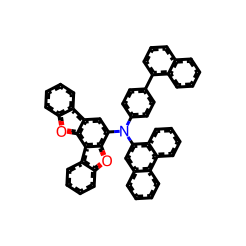 c1ccc2c(-c3ccc(N(c4cc5ccccc5c5ccccc45)c4cc5c6ccccc6oc5c5c4oc4ccccc45)cc3)cccc2c1